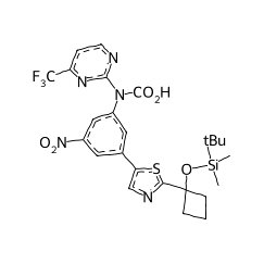 CC(C)(C)[Si](C)(C)OC1(c2ncc(-c3cc(N(C(=O)O)c4nccc(C(F)(F)F)n4)cc([N+](=O)[O-])c3)s2)CCC1